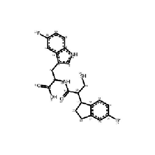 O=C(O)C(Cc1c[nH]c2ccc(F)cc12)NC(=O)C(CS)C1CCc2cc(Br)ccc21